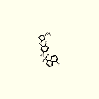 CN1CCC(Oc2cc(NS(=O)(=O)c3cccc4c(Cl)cccc34)ccc2Cl)C1